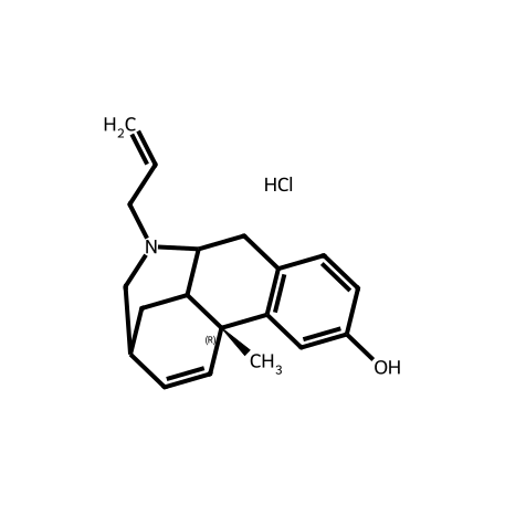 C=CCN1CC2C=C[C@@]3(C)c4cc(O)ccc4CC1C3C2.Cl